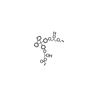 C=CCOCC(O)COc1ccc(C2(c3ccc(OCC(O)COC(=O)C=C)cc3)c3ccccc3-c3ccccc32)cc1